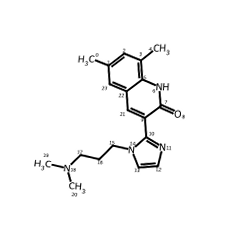 Cc1cc(C)c2[nH]c(=O)c(-c3nccn3CCCN(C)C)cc2c1